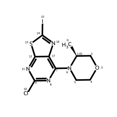 C[C@H]1COCCN1c1nc(Cl)nc2sc(I)nc12